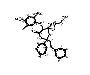 Cc1cc(SC2C(=O)OC(CCc3ccccc3)(c3ccccc3)CC2(O)OCCO)c(C(C)(C)C)cc1O